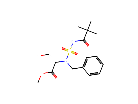 COC(=O)[C@H](CO)N(Cc1ccccc1)S(=O)(=O)NC(=O)C(C)(C)C